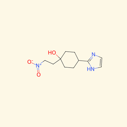 O=[N+]([O-])CCC1(O)CCC(c2ncc[nH]2)CC1